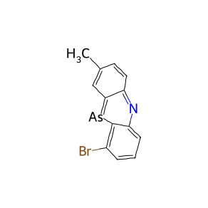 Cc1ccc2c(c1)=[As]c1c(Br)cccc1N=2